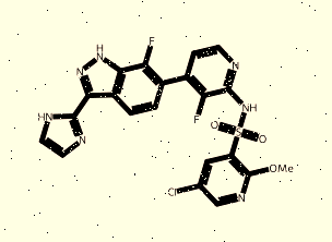 COc1ncc(Cl)cc1S(=O)(=O)Nc1nccc(-c2ccc3c(-c4ncc[nH]4)n[nH]c3c2F)c1F